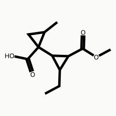 CCC1C(C(=O)OC)C1C1(C(=O)O)CC1C